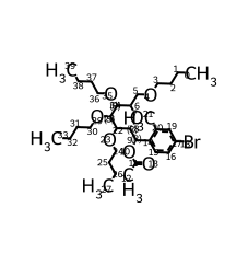 CCCCOCC1O[C@H]([C@H](OC(C)=O)c2ccc(Br)cc2C)C(OCCCC)[C@@H](OCCCC)[C@@H]1OCCCC